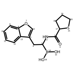 O=C(NC(Cc1coc2ccccc12)B(O)O)C1CCCS1